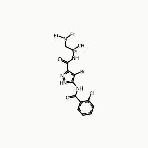 CCN(CC)C[C@@H](C)NC(=O)c1n[nH]c(NC(=O)c2ccccc2Cl)c1Br